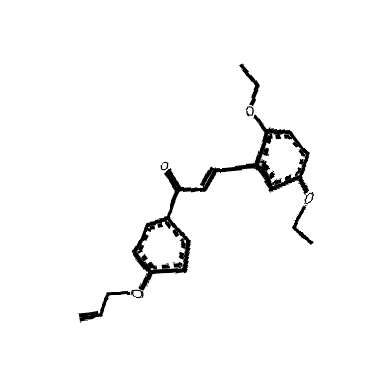 C=CCOc1ccc(C(=O)C=Cc2cc(OCC)ccc2OCC)cc1